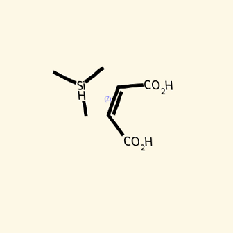 C[SiH](C)C.O=C(O)/C=C\C(=O)O